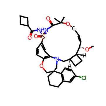 CO[C@H]1C=CCOC(C)(C)C(=O)N=[S@](=O)(NC(=O)C2CCC2)c2ccc3c(c2)N(C[C@@H]2CC[C@H]21)C[C@@]1(CCCc2cc(Cl)ccc21)CO3